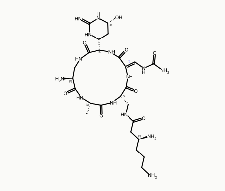 C[C@@H]1NC(=O)[C@@H](N)CNC(=O)[C@H](C2C[C@@H](O)NC(=N)N2)NC(=O)/C(=C/NC(N)=O)NC(=O)[C@H](CNC(=O)C[C@@H](N)CCCN)NC1=O